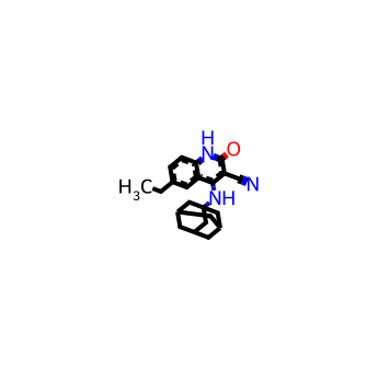 CCc1ccc2[nH]c(=O)c(C#N)c(NC34CC5CC(CC(C5)C3)C4)c2c1